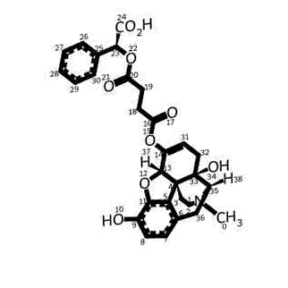 CN1CC[C@@]23c4c5ccc(O)c4O[C@@H]2C(OC(=O)CCC(=O)O[C@H](C(=O)O)c2ccccc2)=CC[C@]3(O)[C@@H]1C5